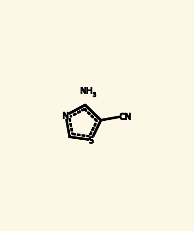 N.N#Cc1cncs1